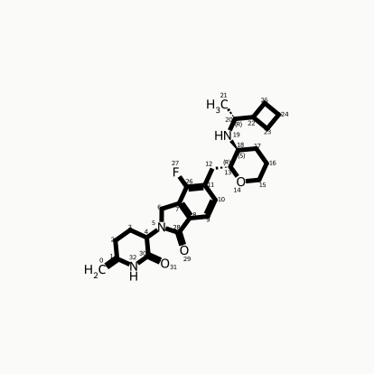 C=C1CCC(N2Cc3c(ccc(C[C@H]4OCCC[C@@H]4N[C@H](C)C4CCC4)c3F)C2=O)C(=O)N1